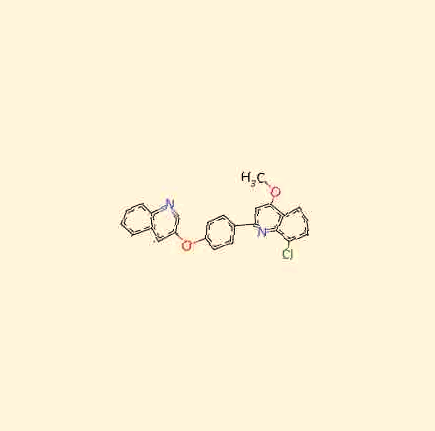 COc1cc(-c2ccc(Oc3[c]c4ccccc4nc3)cc2)nc2c(Cl)cccc12